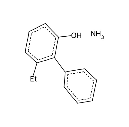 CCc1cccc(O)c1-c1ccccc1.N